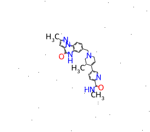 CNC(=O)c1ccc(C2=CCN(Cc3ccc4c(c3)[nH]c(=O)c3cc(C)nn34)CC2C)cn1